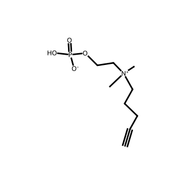 C#CCCC[N+](C)(C)CCOP(=O)([O-])O